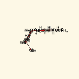 COc1cc(OCCCC(=O)NCCOCCOCC(=O)NCCOCCOCC(=O)NCCOCCOCC(=O)NCCOCCOCC(=O)NCCOCCOCC(=O)NCCOCCOCC(N)=O)ccc1COC(=O)COCCOCCNC(=O)COCCOCCNC(=O)CC[C@H](NC(=O)CCCCCCCCCCCCCCCCCCC(=O)OC(C)(C)C)C(=O)OC(C)(C)C